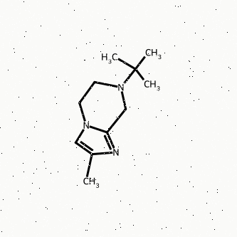 Cc1cn2c(n1)CN(C(C)(C)C)CC2